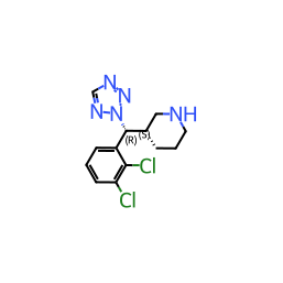 Clc1cccc([C@@H]([C@H]2CCCNC2)n2ncnn2)c1Cl